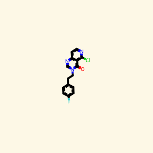 O=c1c2c(Cl)nccc2ncn1CCc1ccc(F)cc1